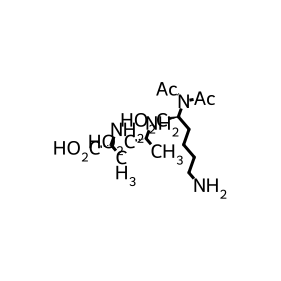 CC(=O)N(C(C)=O)[C@@H](CCCCN)C(=O)O.C[C@@H](N)C(=O)O.C[C@@H](N)C(=O)O